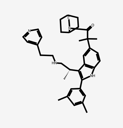 Cc1cc(C)cc(-c2[nH]c3ccc(C(C)(C)C(=O)N4CC5CCC4CC5)cc3c2[C@H](C)CNCCc2ccncc2)c1